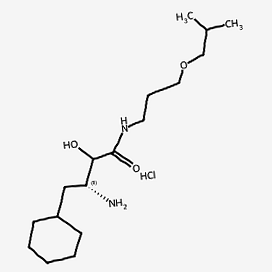 CC(C)COCCCNC(=O)C(O)[C@H](N)CC1CCCCC1.Cl